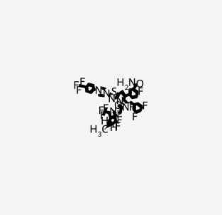 C[C@@H]1[C@@H]2c3c(C(F)(F)F)nn(CC(=O)N[C@@H](Cc4cc(F)cc(F)c4)c4nc5nc(N6CCN(c7ccc(C(F)(F)F)cc7)CC6)sc5cc4-c4ccc(F)c(C(N)=O)c4)c3C(F)(F)[C@H]12